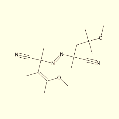 CO/C(C)=C(/C)C(C)(C#N)N=NC(C)(C#N)CC(C)(C)OC